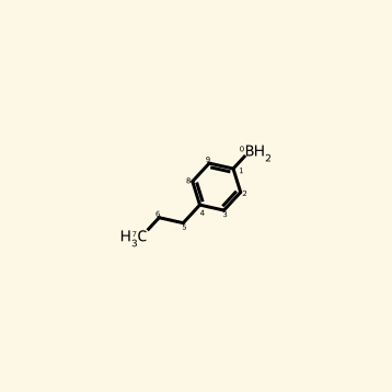 Bc1ccc(CCC)cc1